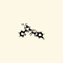 Cc1nc(NC(=O)c2nc3cc(I)ccc3s2)nc(-c2ccccn2)n1